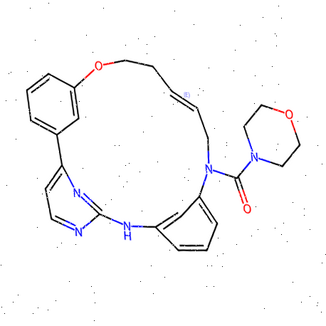 O=C(N1CCOCC1)N1C/C=C/CCOc2cccc(c2)-c2ccnc(n2)Nc2cccc1c2